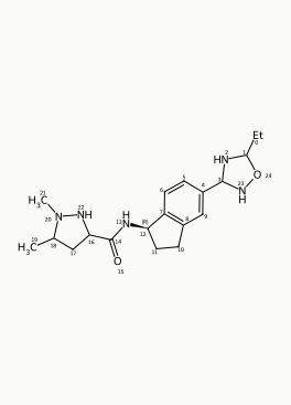 CCC1NC(c2ccc3c(c2)CC[C@H]3NC(=O)C2CC(C)N(C)N2)NO1